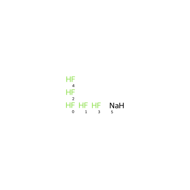 F.F.F.F.F.[NaH]